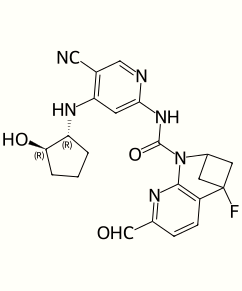 N#Cc1cnc(NC(=O)N2c3nc(C=O)ccc3C3(F)CC2C3)cc1N[C@@H]1CCC[C@H]1O